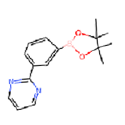 CC1(C)OB(c2cccc(-c3ncccn3)c2)OC1(C)C